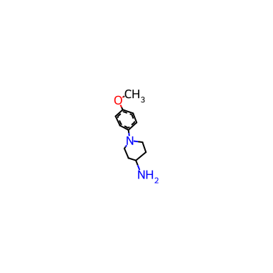 COc1ccc(N2CCC(N)CC2)cc1